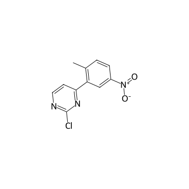 Cc1ccc([N+](=O)[O-])cc1-c1ccnc(Cl)n1